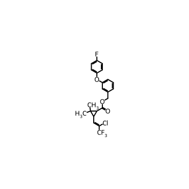 CC1(C)C(C=C(Cl)C(F)(F)F)C1C(=O)OCc1cccc(Oc2ccc(F)cc2)c1